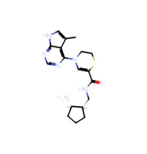 Cc1c[nH]c2ncnc(N3C=C(C(=O)NC[C@H]4CCC[C@@H]4N)SCC3)c12